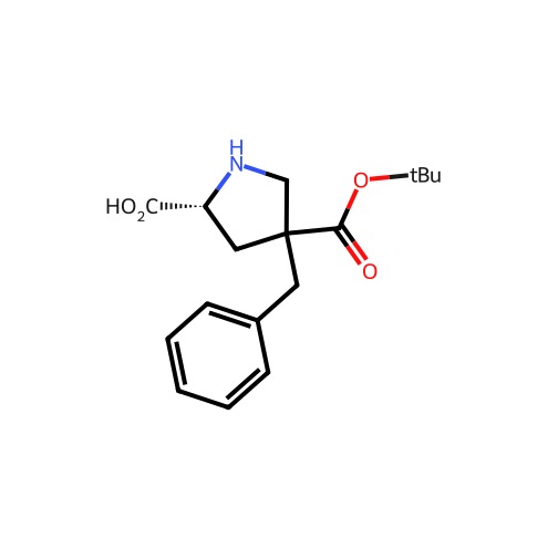 CC(C)(C)OC(=O)C1(Cc2ccccc2)CN[C@@H](C(=O)O)C1